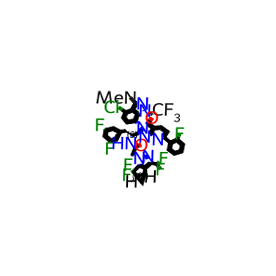 CNc1nn(CC(F)(F)F)c2c(-n3c([C@H](Cc4cc(F)cc(F)c4)NC(=O)Cn4nc(C(F)F)c5c4C(F)(F)[C@@H]4C[C@H]54)nc4nc(-c5ccccc5F)ccc4c3=O)ccc(Cl)c12